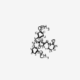 COc1cccc(CN(Cc2cccc(OC)c2)c2nc(Cn3ccccc3=O)cs2)c1